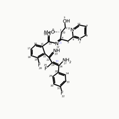 CO[C@H](CO)/C(Cc1ncccn1)=N\C(=O)c1cccc(F)c1C(=N)/C(F)=C(\N)c1ccc(F)cc1